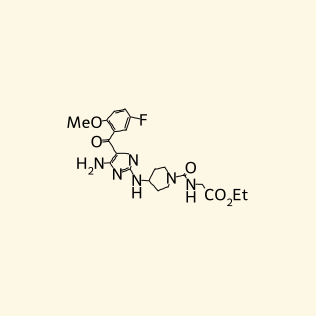 CCOC(=O)CNC(=O)N1CCC(Nc2ncc(C(=O)c3cc(F)ccc3OC)c(N)n2)CC1